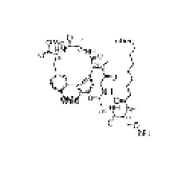 CCCCCCCCCCCCCCCCCC(=O)N(C)[C@H](COCCCC)C(=O)N[C@H](C)C(=O)NCC(=O)N(C)[C@@H]1C(=O)N[C@@H](C)C(=O)N[C@H](C(=O)OC)Cc2ccc(OC)c(c2)-c2cc1ccc2OC